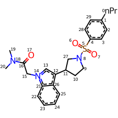 CCCc1ccc(S(=O)(=O)N2CCC(c3cn(CC(=O)N(C)C)c4ccccc34)C2)cc1